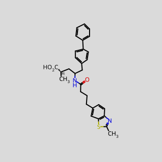 Cc1nc2ccc(CCCC(=O)NC(Cc3ccc(-c4ccccc4)cc3)C[C@@H](C)C(=O)O)cc2s1